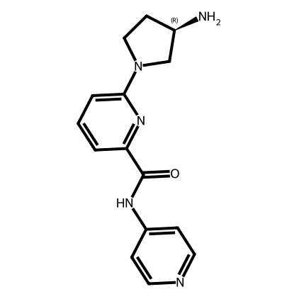 N[C@@H]1CCN(c2cccc(C(=O)Nc3ccncc3)n2)C1